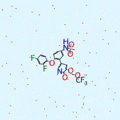 Cn1cc(-c2cc(NS(C)(=O)=O)ccc2Oc2ccc(F)cc2F)cc(OCOC(F)(F)F)c1=O